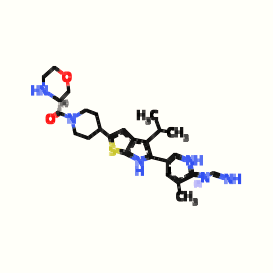 Cc1cc(-c2[nH]c3sc(C4CCN(C(=O)[C@H]5COCCN5)CC4)cc3c2C(C)C)c[nH]/c1=N\C=N